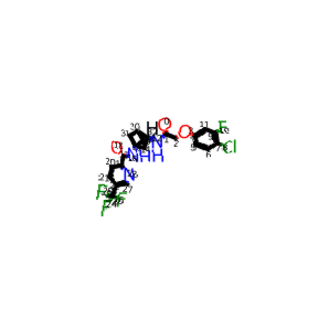 O=C(COc1ccc(Cl)c(F)c1)N[C@H]1CC2(NC(=O)c3ccc(C(F)(F)F)cn3)CC1C2